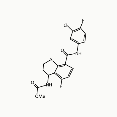 COC(=O)NC1CCSc2c(C(=O)Nc3ccc(F)c(Cl)c3)ccc(F)c21